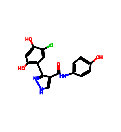 O=C(Nc1ccc(O)cc1)c1c[nH]nc1-c1cc(Cl)c(O)cc1O